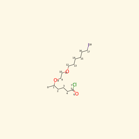 CC(CCCC(=O)Cl)OCCOCCCCCCI